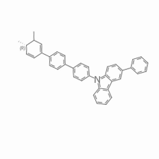 CC1C=C(c2ccc(-c3ccc(-n4c5ccccc5c5cc(-c6ccccc6)ccc54)cc3)cc2)C=C[C@@H]1C